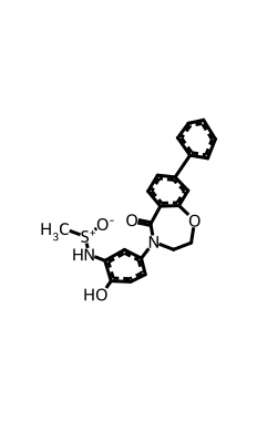 C[S+]([O-])Nc1cc(N2CCOc3cc(-c4ccccc4)ccc3C2=O)ccc1O